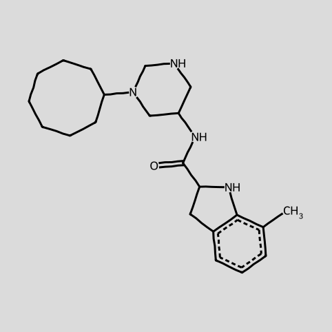 Cc1cccc2c1NC(C(=O)NC1CNCN(C3CCCCCCC3)C1)C2